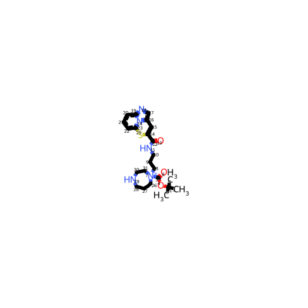 CC(C)(C)OC(=O)[N+]1(CCCNC(=O)C2=Cc3cnc4cccc(n34)S2)CCCNCC1